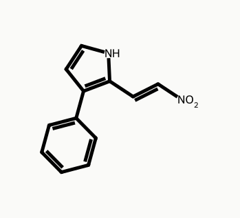 O=[N+]([O-])C=Cc1[nH]ccc1-c1ccccc1